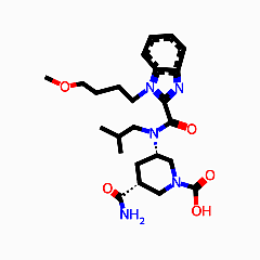 COCCCCn1c(C(=O)N(CC(C)C)[C@H]2C[C@@H](C(N)=O)CN(C(=O)O)C2)nc2ccccc21